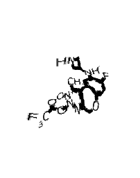 Cc1c2c(nn(OC(=O)C(F)(F)F)[n+]1=O)COc1cc(F)c(NC3CNC3)cc1-2